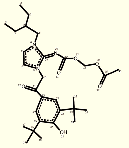 CCC(CC)Cn1ccn(CC(=O)c2cc(C(C)(C)C)c(O)c(C(C)(C)C)c2)/c1=N\C(=O)OCOC(C)=O